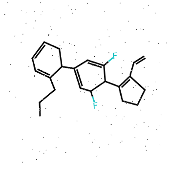 C=CC1=C(C2C(F)=CC(C3CC=CC=C3CCC)=CC2F)CCC1